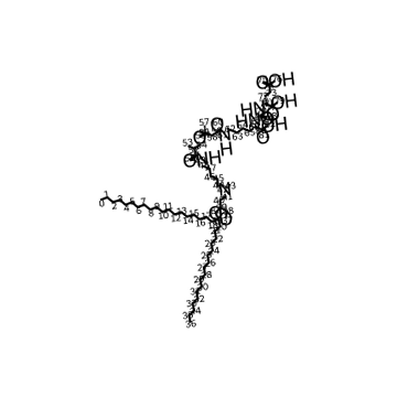 CCCCCCCCCCCCCCCCCCCC1(CCCCCCCCCCCCCCCCC)OCC(CCN(C)CCCCCNC(=O)C(C)CO[C@@H](C)CC(=O)NCCCC[C@@H](NC(=O)N[C@H](CCC(=O)O)C(=O)O)C(=O)O)O1